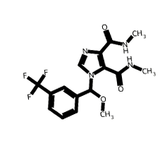 CNC(=O)c1ncn(C(OC)c2cccc(C(F)(F)F)c2)c1C(=O)NC